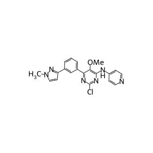 COc1c(Nc2ccncc2)nc(Cl)nc1-c1cccc(-c2ccn(C)n2)c1